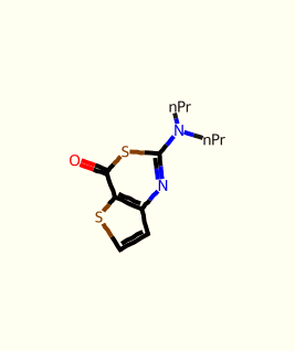 CCCN(CCC)c1nc2ccsc2c(=O)s1